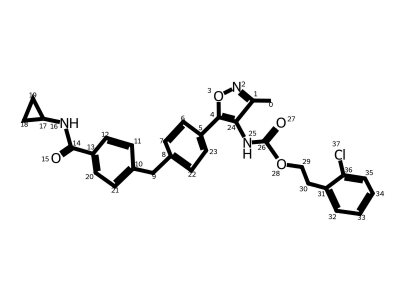 Cc1noc(-c2ccc(Cc3ccc(C(=O)NC4CC4)cc3)cc2)c1NC(=O)OCCc1ccccc1Cl